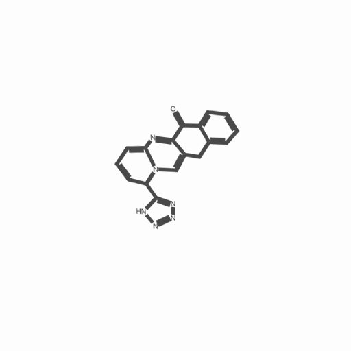 O=C1C2=NC3=CC=CC(c4nnn[nH]4)N3C=C2Cc2ccccc21